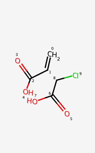 C=CC(=O)O.O=C(O)CCl